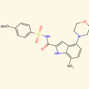 COc1ccc(S(=O)(=O)NC(=O)c2cc3c(N4CCOCC4)ccc([N+](=O)[O-])c3[nH]2)cc1